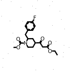 CCOC(=O)CC(=O)C1CCN(C(=O)OC)C(Cc2ccc(F)cc2)C1